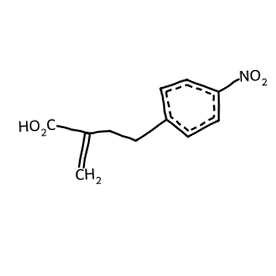 C=C(CCc1ccc([N+](=O)[O-])cc1)C(=O)O